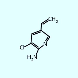 C=Cc1cnc(N)c(Cl)c1